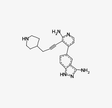 Nc1nccc(-c2ccc3[nH]nc(N)c3c2)c1C#CCC1CCNCC1